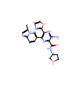 Cc1cnc2ccc(-c3nc(C(=O)N[C@H]4CCOC4)c(N)nc3-c3ncco3)cn12